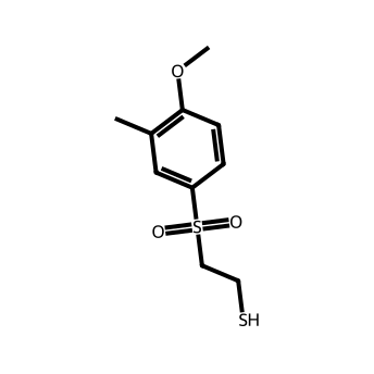 COc1ccc(S(=O)(=O)CCS)cc1C